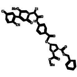 CCC(C(=O)Nc1ccc(C(=O)O[C@@H]2C[C@H](C(=O)OCc3ccccc3)N(C(=O)OC(C)(C)C)C2)cc1)n1cc(OC)c(-c2cc(Cl)ccc2C#N)cc1=O